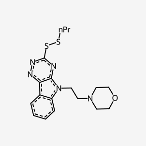 CCCSSc1nnc2c3ccccc3n(CCN3CCOCC3)c2n1